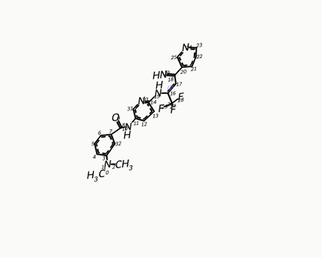 CN(C)c1cccc(C(=O)Nc2ccc(N/C(=C\C(=N)c3cccnc3)C(F)(F)F)nc2)c1